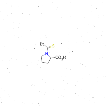 CCC(=S)N1CCCC1C(=O)O